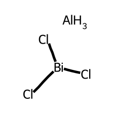 [AlH3].[Cl][Bi]([Cl])[Cl]